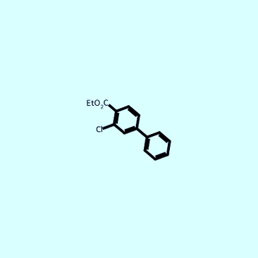 CCOC(=O)c1ccc(-c2ccccc2)cc1Cl